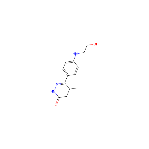 CC1CC(=O)NN=C1c1ccc(NCCO)cc1